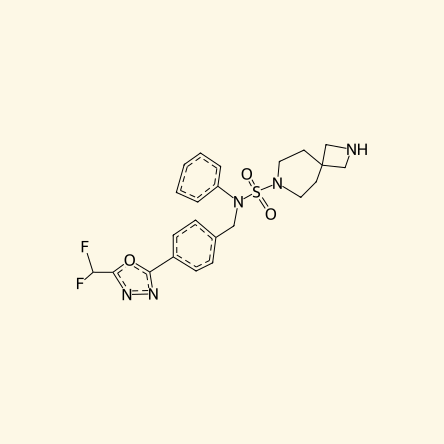 O=S(=O)(N1CCC2(CC1)CNC2)N(Cc1ccc(-c2nnc(C(F)F)o2)cc1)c1ccccc1